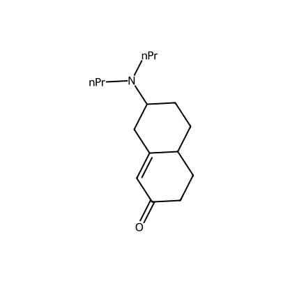 CCCN(CCC)C1CCC2CCC(=O)C=C2C1